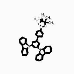 CC1(C)OB(c2ccc(-c3cc(-n4c5ccccc5c5ccccc54)cc(-n4c5ccccc5c5ccccc54)c3)cc2)OC1(C)C